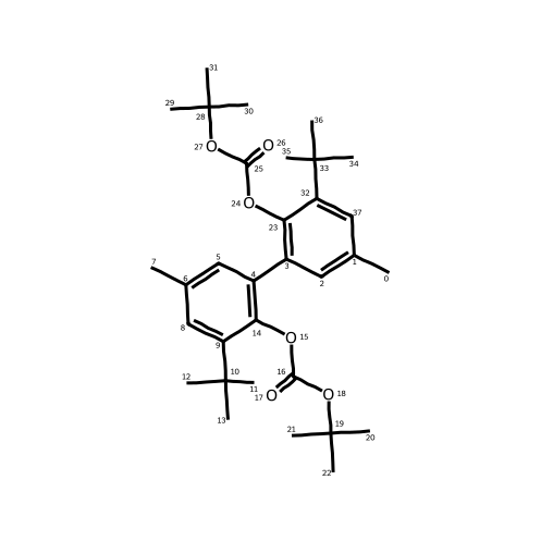 Cc1cc(-c2cc(C)cc(C(C)(C)C)c2OC(=O)OC(C)(C)C)c(OC(=O)OC(C)(C)C)c(C(C)(C)C)c1